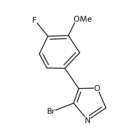 COc1cc(-c2ocnc2Br)ccc1F